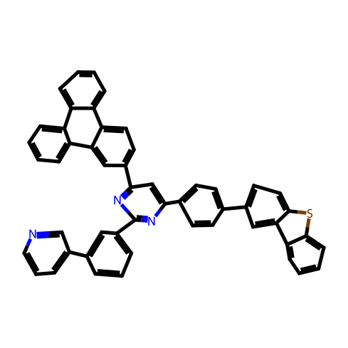 c1cncc(-c2cccc(-c3nc(-c4ccc(-c5ccc6sc7ccccc7c6c5)cc4)cc(-c4ccc5c6ccccc6c6ccccc6c5c4)n3)c2)c1